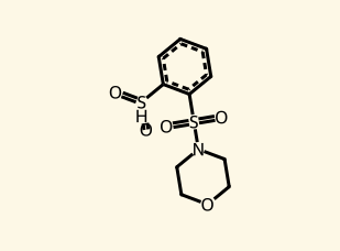 O=[SH](=O)c1ccccc1S(=O)(=O)N1CCOCC1